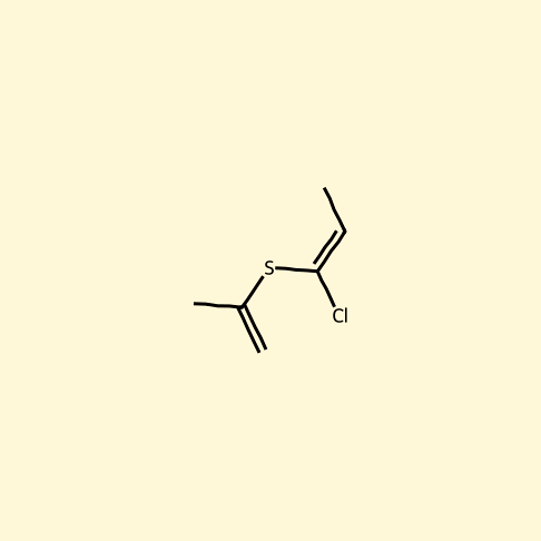 C=C(C)S/C(Cl)=C\C